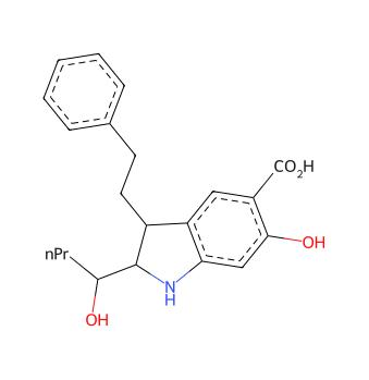 CCCC(O)C1Nc2cc(O)c(C(=O)O)cc2C1CCc1ccccc1